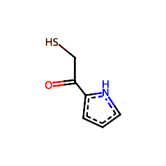 O=C(CS)c1ccc[nH]1